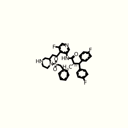 C[C@H](C(=O)Nc1cncc(F)c1CCC1CNCCN1S(=O)(=O)Cc1ccccc1)C(c1ccc(F)cc1)c1ccc(F)cc1